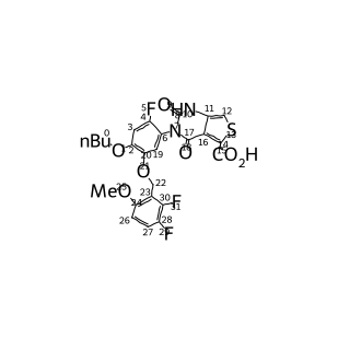 CCCCOc1cc(F)c(-n2c(=O)[nH]c3csc(C(=O)O)c3c2=O)cc1OCc1c(OC)ccc(F)c1F